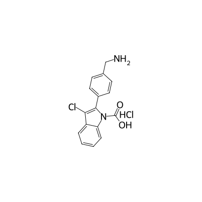 Cl.NCc1ccc(-c2c(Cl)c3ccccc3n2C(=O)O)cc1